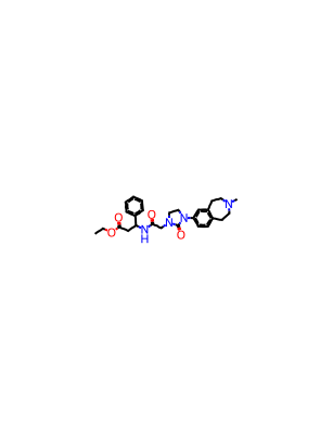 CCOC(=O)CC(NC(=O)CN1CCN(c2ccc3c(c2)CCN(C)CC3)C1=O)c1ccccc1